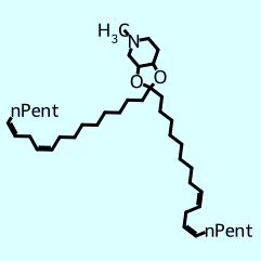 CCCCC/C=C\C/C=C\CCCCCCCCC1(CCCCCCCC/C=C\C/C=C\CCCCC)OC2CCN(C)CC2O1